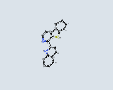 c1ccc2nc(-c3nccc4c3sc3ccccc34)ccc2c1